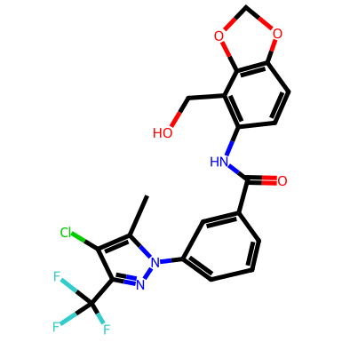 Cc1c(Cl)c(C(F)(F)F)nn1-c1cccc(C(=O)Nc2ccc3c(c2CO)OCO3)c1